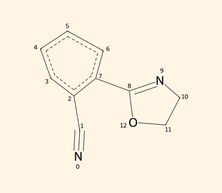 N#Cc1ccccc1C1=NCCO1